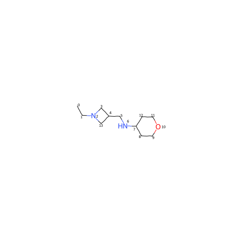 CCN1CC(CNC2CCOCC2)C1